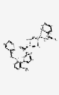 Cc1cccc(OCc2ccccc2)c1-c1cccc(C(=O)N2CCN(c3nc4ccccc4c(=O)[nH]3)CC2)c1